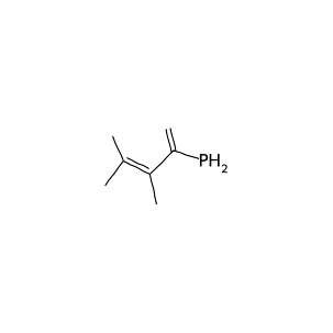 C=C(P)C(C)=C(C)C